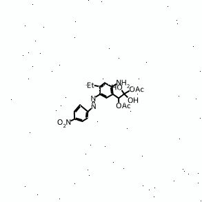 [CH2][CH]c1cc(N)c(C(OC(C)=O)C(O)(O)OC(C)=O)cc1N=Nc1ccc([N+](=O)[O-])cc1